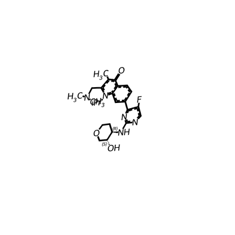 Cc1c(CN(C)C)n(C(C)C)c2cc(-c3nc(N[C@@H]4CCOC[C@H]4O)ncc3F)ccc2c1=O